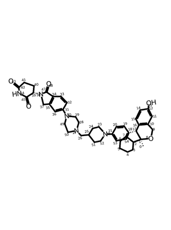 C[C@@]1(C2CCCCC2)OCc2cc(O)ccc2[C@H]1c1ccc(N2CCC(CN3CCN(c4ccc5c(c4)CN([C@H]4CCC(=O)NC4=O)C5=O)CC3)CC2)cc1